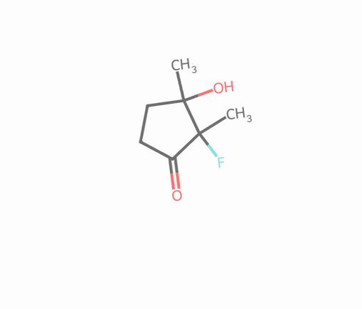 CC1(O)CCC(=O)C1(C)F